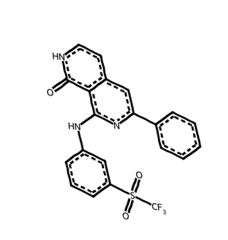 O=c1[nH]ccc2cc(-c3ccccc3)nc(Nc3cccc(S(=O)(=O)C(F)(F)F)c3)c12